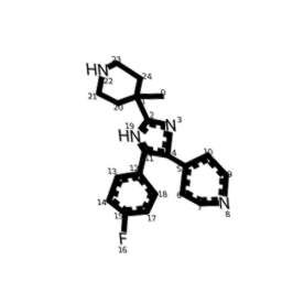 CC1(c2nc(-c3ccncc3)c(-c3ccc(F)cc3)[nH]2)CCNCC1